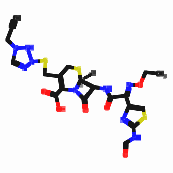 C#CCN1C=NN(SCC2=C(C(=O)O)N3C(=O)C(NC(=O)C(=NOCC)c4csc(NC=O)n4)[C@@H]3SC2)N1